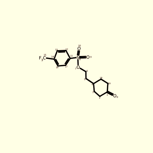 O=C1CCC(CCOS(=O)(=O)c2ccc(C(F)(F)F)cc2)CC1